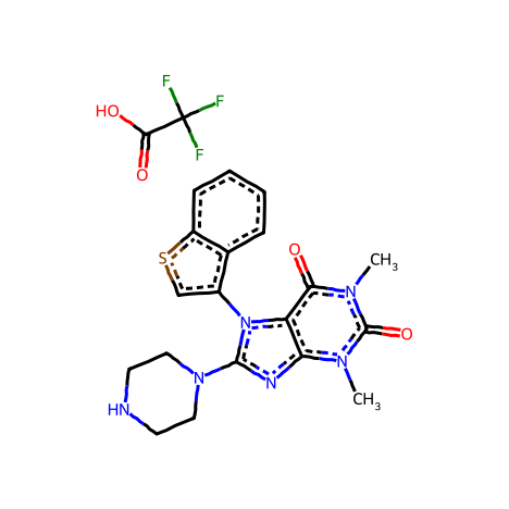 Cn1c(=O)c2c(nc(N3CCNCC3)n2-c2csc3ccccc23)n(C)c1=O.O=C(O)C(F)(F)F